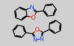 c1ccc(-c2nc3ccccc3o2)cc1.c1ccc(-c2nnc(-c3ccccc3)o2)cc1